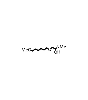 CNC(O)COCCCCCCOC